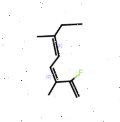 C=C(F)/C(C)=C\C=C(/C)CC